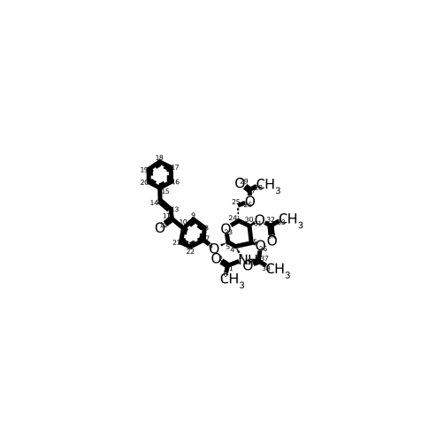 CC(=O)N[C@@H]1[C@H](Oc2ccc(C(=O)/C=C/c3ccccc3)cc2)O[C@H](COC(C)=O)[C@@H](OC(C)=O)[C@H]1OC(C)=O